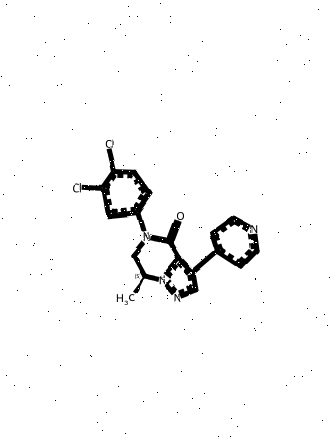 C[C@H]1CN(c2ccc(Cl)c(Cl)c2)C(=O)c2c(-c3ccncc3)cnn21